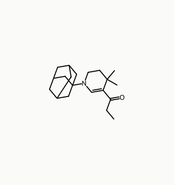 CCC(=O)C1=CN(C23CC4CC(CC(C4)C2)C3)CCC1(C)C